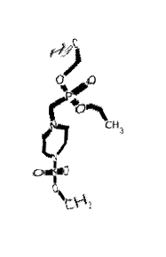 CCOP(=O)(CN1CCN(S(=O)(=O)OC)CC1)OCC